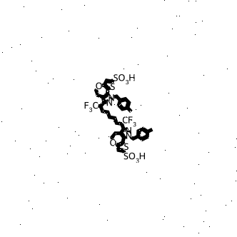 Cc1ccc(Cn2nc(C(CCCCCC(c3nn(Cc4ccc(C)cc4)c4c3CCOc3cc(S(=O)(=O)O)sc3-4)C(F)(F)F)C(F)(F)F)c3c2-c2sc(S(=O)(=O)O)cc2OCC3)cc1